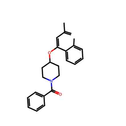 C=C(C)/C=C(/OC1CCN(C(=O)c2ccccc2)CC1)c1ccccc1C